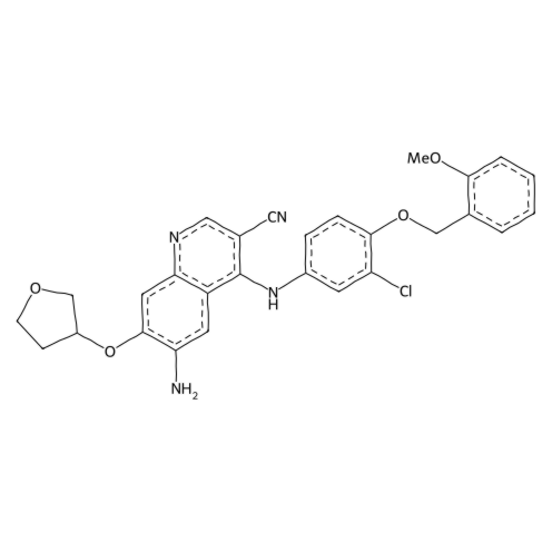 COc1ccccc1COc1ccc(Nc2c(C#N)cnc3cc(OC4CCOC4)c(N)cc23)cc1Cl